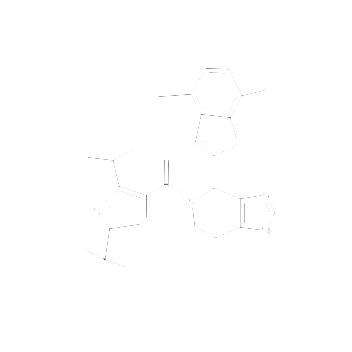 Cc1ccc(C)c2oc([C@@H]3c4nc[nH]c4CCN3C(=O)c3oc(C(C)(C)O)nc3C(F)F)cc12